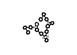 C1=CC2c3cc(-c4ccc(-c5nc6ccccc6nc5-c5ccc(-c6ccc7c(c6)c6ccccc6n7-c6ccc(-c7ccccc7-c7ccccc7)cc6)cc5)cc4)ccc3N(c3ccc(-c4ccccc4-c4ccccc4)cc3)C2C=C1